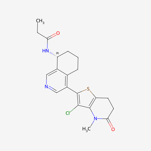 CCC(=O)N[C@@H]1CCCc2c(-c3sc4c(c3Cl)N(C)C(=O)CC4)cncc21